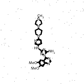 COc1cc2ncnc(-n3nc(Nc4ccc(N5CCC(N6CCN(C)CC6)CC5)nc4)nc3N)c2cc1OC